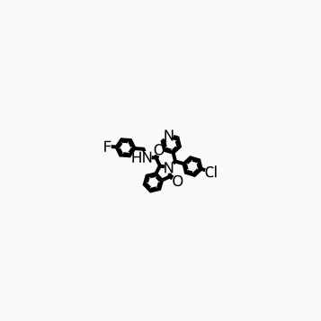 O=C(NCc1ccc(F)cc1)C1c2ccccc2C(=O)N1C(c1ccncc1)c1ccc(Cl)cc1